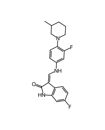 CC1CCCN(c2ccc(N/C=C3/C(=O)Nc4cc(F)ccc43)cc2F)C1